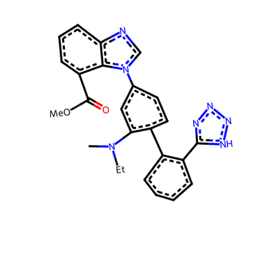 CCN(C)c1cc(-n2cnc3cccc(C(=O)OC)c32)ccc1-c1ccccc1-c1nnn[nH]1